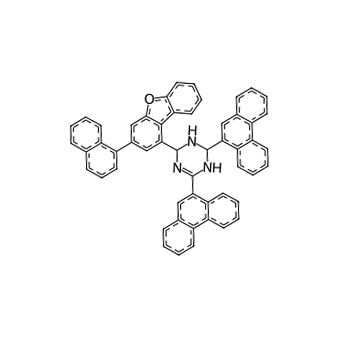 c1ccc2c(-c3cc(C4N=C(c5cc6ccccc6c6ccccc56)NC(c5cc6ccccc6c6ccccc56)N4)c4c(c3)oc3ccccc34)cccc2c1